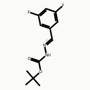 CC(C)(C)OC(=O)N/N=C/c1cc(F)cc(F)c1